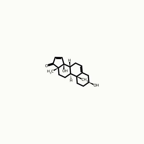 C[C@]12CC[C@H](O)CC1=CC[C@@H]1[C@@H]2CC[C@]2(C)C(=O)C=C[C@]12O